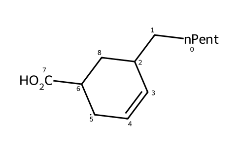 CCCCCCC1C=C[CH]C(C(=O)O)C1